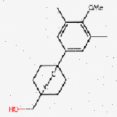 COc1c(C)cc(C23CCC(CO)(CC2)CC3)cc1C